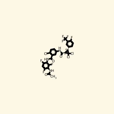 CC(=O)Nc1c(F)cc(F)c(NC(=O)c2cc(NC(=O)[C@H]3[C@H](c4ccc(F)c(C(F)(F)F)c4)C3(Cl)Cl)ccc2Cl)c1F